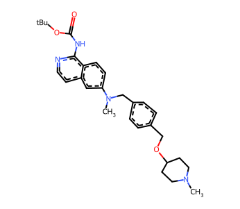 CN1CCC(OCc2ccc(CN(C)c3ccc4c(NC(=O)OC(C)(C)C)nccc4c3)cc2)CC1